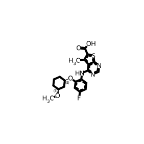 CO[C@H]1CCC[C@H](Oc2cc(F)ccc2Nc2ncnc3sc(C(=O)O)c(C)c23)C1